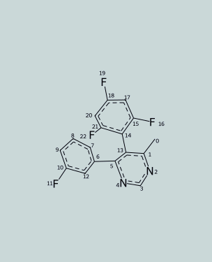 Cc1ncnc(-c2cccc(F)c2)c1-c1c(F)cc(F)cc1F